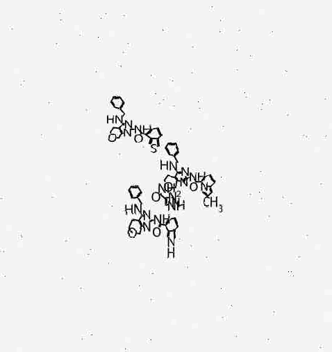 Cc1cc2cccc(C(=O)Nc3nc4c(c(NCc5ccccc5)n3)CCOC4)n2c1.NC(=O)c1c[nH]nn1.O=C(Nc1nc2c(c(NCc3ccccc3)n1)CCOC2)c1cccc2c[nH]cc12.O=C(Nc1nc2c(c(NCc3ccccc3)n1)CCOC2)c1cccc2cscc12